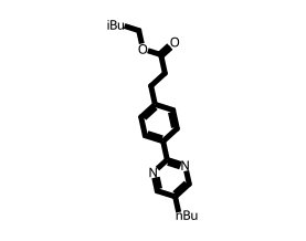 CCCCc1cnc(-c2ccc(CCC(=O)OCC(C)CC)cc2)nc1